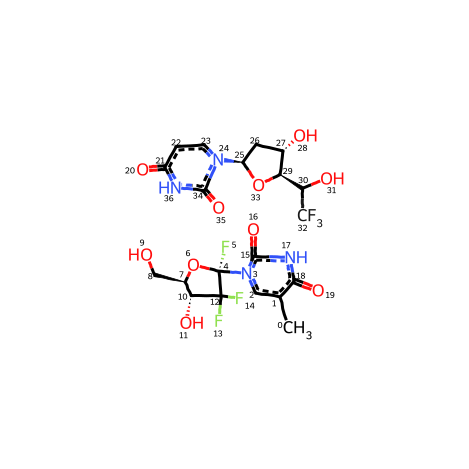 Cc1cn([C@]2(F)O[C@H](CO)[C@@H](O)C2(F)F)c(=O)[nH]c1=O.O=c1ccn([C@H]2C[C@H](O)[C@@H](C(O)C(F)(F)F)O2)c(=O)[nH]1